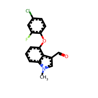 Cn1cc(C=O)c2c(Oc3ccc(Cl)cc3F)cccc21